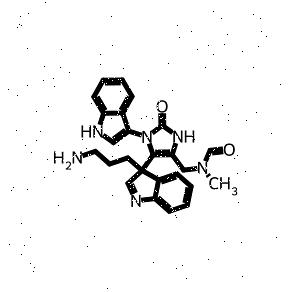 CN(C=O)Cc1[nH]c(=O)n(-c2c[nH]c3ccccc23)c1C1(CCCN)C=Nc2ccccc21